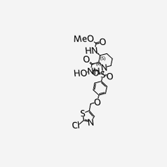 COC(=O)N[C@H]1CCCN(S(=O)(=O)c2ccc(OCc3cnc(Cl)s3)cc2)[C@H]1C(=O)NO